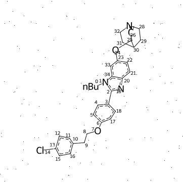 CCCCn1c(-c2ccc(OCCc3ccc(Cl)cc3)cc2)nc2ccc(OC3CN4CCC3CC4)cc21